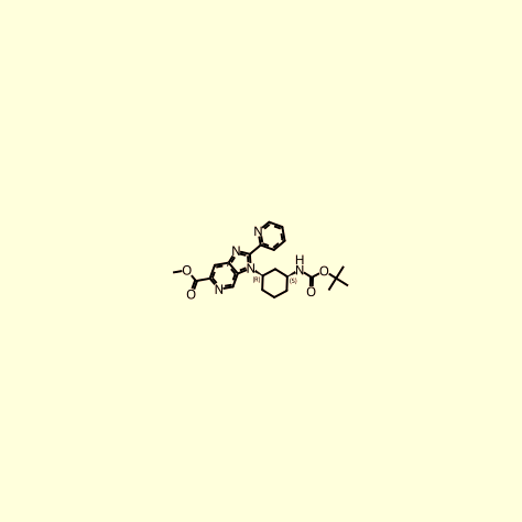 COC(=O)c1cc2nc(-c3ccccn3)n([C@@H]3CCC[C@H](NC(=O)OC(C)(C)C)C3)c2cn1